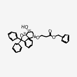 O=C(CCON1C[C@@H](O)[C@H](OC(c2ccccc2)(c2ccccc2)c2ccccc2)C1)OCc1ccccc1